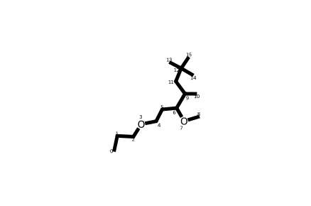 CCCOCCC(OC)C(C)CC(C)(C)C